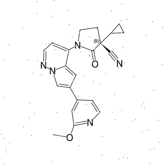 COc1cc(-c2cc3c(N4CC[C@](C#N)(C5CC5)C4=O)ccnn3c2)ccn1